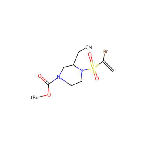 C=C(Br)S(=O)(=O)N1CCN(C(=O)OC(C)(C)C)CC1CC#N